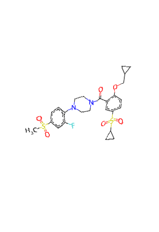 CS(=O)(=O)c1ccc(N2CCN(C(=O)c3cc(S(=O)(=O)C4CC4)ccc3OCC3CC3)CC2)c(F)c1